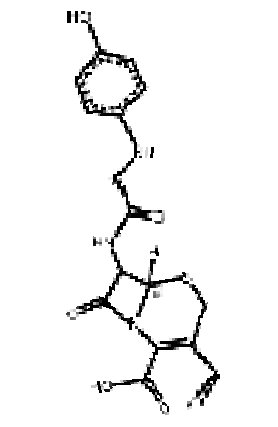 O=CC1=C(C(=O)O)N2C(=O)C(NC(=O)CNc3ccc(O)cc3)[C@@H]2SC1